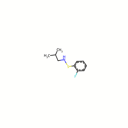 CC(C)CNSc1ccccc1F